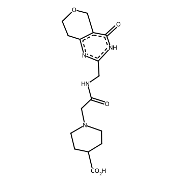 O=C(CN1CCC(C(=O)O)CC1)NCc1nc2c(c(=O)[nH]1)COCC2